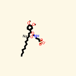 CCCCCCCCCCCCC(OC(=O)NCCCS(=O)(=O)[O-])c1ccc(OC)c(OC)c1.[Na+]